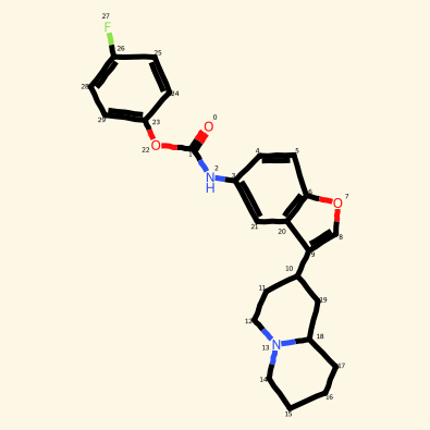 O=C(Nc1ccc2occ(C3CCN4CCCCC4C3)c2c1)Oc1ccc(F)cc1